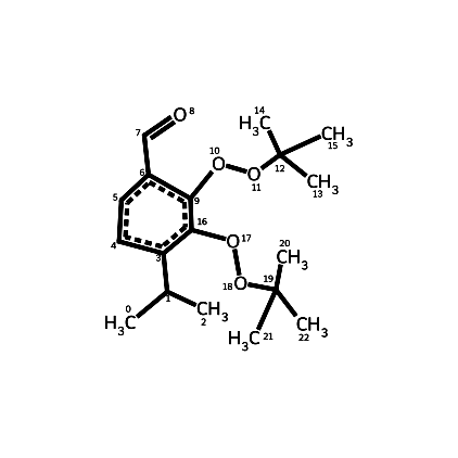 CC(C)c1ccc(C=O)c(OOC(C)(C)C)c1OOC(C)(C)C